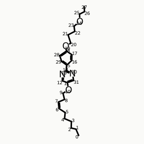 CCCCCC/C=C\CCOc1cnc(-c2ccc(OCCCCOCCC)cc2)nc1